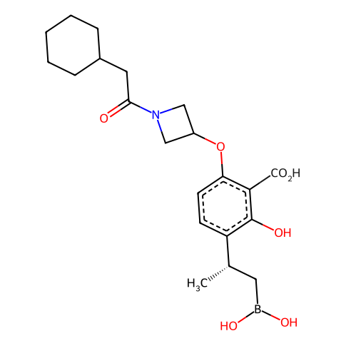 C[C@@H](CB(O)O)c1ccc(OC2CN(C(=O)CC3CCCCC3)C2)c(C(=O)O)c1O